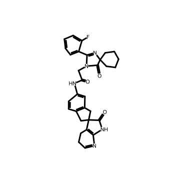 O=C(CN1C(=O)C2(CCCCC2)N=C1c1ccccc1F)Nc1ccc2c(c1)CC1(C2)C(=O)NC2=C1CCC=N2